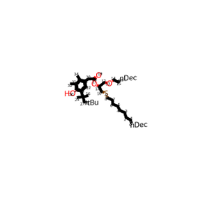 CCCCCCCCCCCCCCCCCCSCC(COCCCCCCCCCCCC)OC(=O)Cc1cc(C(C)(C)CC(C)(C)C)c(O)c(C)c1C